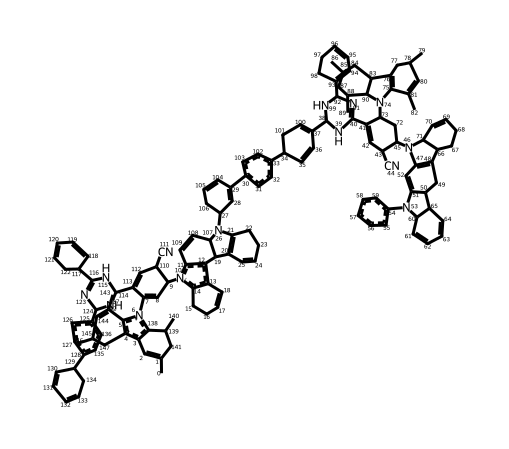 CC1=Cc2c3c(n(C4=CC(n5c6c(c7c5CCC=C7)C5C7=C(CCC=C7)N(C7C=C(c8ccc(C9C=CC(C%10NC(C%11=CC(C#N)C(N%12C%13=C(CC%14C(=C%13)N(c%13ccccc%13)C%13C=CC=CC%14%13)C%13CCC=CC%13%12)CC%11N%11C%12=C(CC(C)C=C%12C)C%12CC(C)CC(C)C%12%11)=NC(C%11=CC=CCC%11)N%10)=CC9)cc8)C=CC7)C5C=C6)C(C#N)C=C4C4NC(C5C=CC=CC5)=NC(c5ccc(C6C=CC=CC6)cc5)N4)c2C(C)C1)C(C)=CC(C)C3